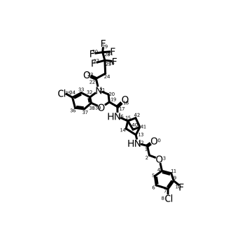 O=C(COc1ccc(Cl)c(F)c1)NC1CC2(NC(=O)C3CN(C(=O)CC(F)(F)C(F)(F)F)c4cc(Cl)ccc4O3)CC1C2